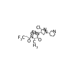 CCN(C(=O)C(C)N(C)C(=O)CC(F)(F)F)c1cn(-c2cccnc2)nc1Cl